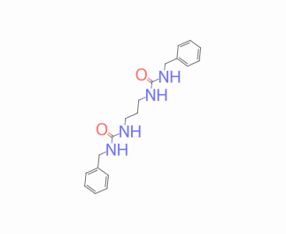 O=C(NCCCNC(=O)NCc1ccccc1)NCc1ccccc1